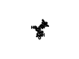 CCOP(=O)(OCC)c1cn(CC2O[C@@H](n3cc(C)c(=O)[nH]c3=O)C[C@H]2O)nn1